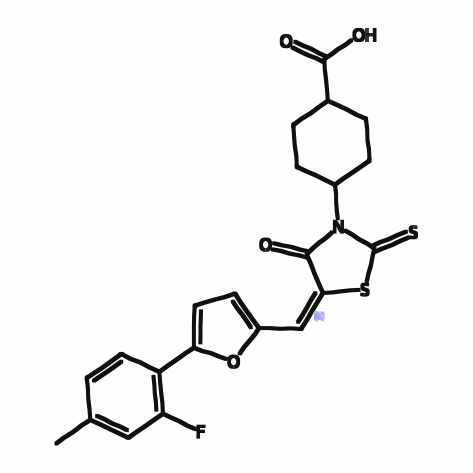 Cc1ccc(-c2ccc(/C=C3/SC(=S)N(C4CCC(C(=O)O)CC4)C3=O)o2)c(F)c1